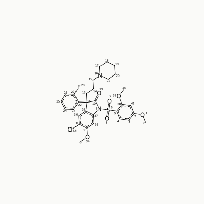 COc1ccc(S(=O)(=O)N2C(=O)C(CCCN3CCCCC3)(c3ccccc3F)c3cc(Cl)c(OC)cc32)c(OC)c1